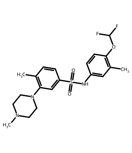 Cc1cc(NS(=O)(=O)c2ccc(C)c(N3CCN(C)CC3)c2)ccc1OC(F)F